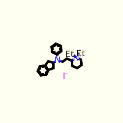 CC[N+]1(CC)CCCCC1CCN(c1ccccc1)C1Cc2ccccc2C1.[I-]